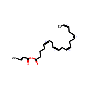 CC/C=C\C/C=C\C/C=C\C/C=C\C/C=C\CCCC(=O)OC(=O)/C=C/C(C)=O